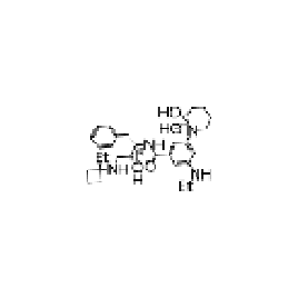 CCNc1cc(C(=O)N[C@@H](Cc2ccccc2)[C@H](O)CNC2(CC)CCC2)cc(N2CCCCS2(O)O)c1